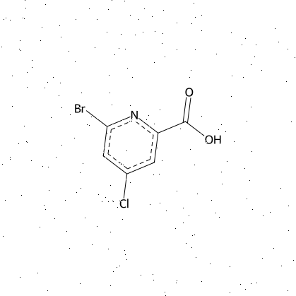 O=C(O)c1cc(Cl)cc(Br)n1